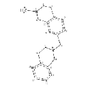 CN1CCc2ncc(CN3CCc4ncncc4C3)nc2C1